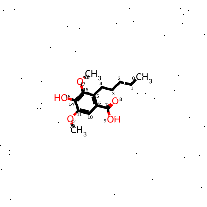 CCCCCc1c(C(=O)O)cc(OC)c(O)c1OC